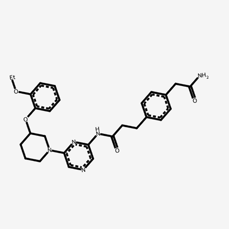 CCOc1ccccc1OC1CCCN(c2cncc(NC(=O)CCc3ccc(CC(N)=O)cc3)n2)C1